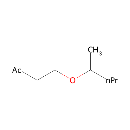 CCCC(C)OCCC(C)=O